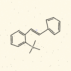 C[Si](C)(C)c1ccccc1/C=C/c1ccccc1